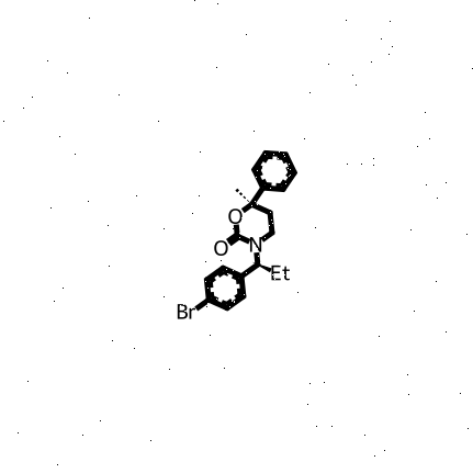 CC[C@@H](c1ccc(Br)cc1)N1CC[C@](C)(c2ccccc2)OC1=O